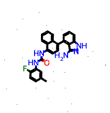 Cc1ccc(F)c(NC(=O)Nc2ccc(-c3cccc4[nH]nc(N)c34)c3ccccc23)c1